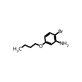 CCCCOc1ccc(Br)c(N)c1